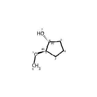 CO[C@@H]1CCC[C@H]1O